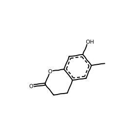 Cc1cc2c(cc1O)OC(=O)CC2